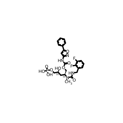 CN(C(=O)NCc1cccc(F)c1F)[C@H](COC(=O)Nc1cc(-c2ccccc2)on1)C[C@H](O)COP(=O)(O)O